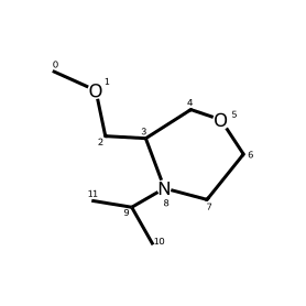 COCC1COCCN1C(C)C